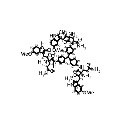 COc1ccc2[nH]c(C)c(CC(=O)[C@](N)(CCC(N)=O)C(=O)Nc3ccc(C(c4ccc(NC(=O)[C@@](N)(CCC(N)=O)C(=O)Cc5c(C)[nH]c6ccc(OC)cc56)cc4)c4ccc(NC(=O)[C@@](N)(CCC(N)=O)C(=O)Cc5c(C)[nH]c6ccc(OC)cc56)cc4)cc3)c2c1